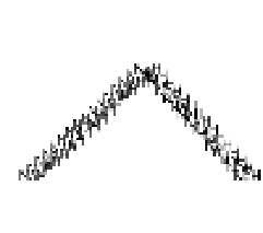 [NaH].[NaH].[NaH].[NaH].[NaH].[NaH].[NaH].[NaH].[NaH].[NaH].[NaH].[NaH].[NaH].[NaH].[NaH].[NaH].[NaH].[NaH].[NaH].[NaH].[NaH].[NaH].[NaH].[NaH].[NaH].[NaH].[NaH].[NaH].[NaH].[NaH]